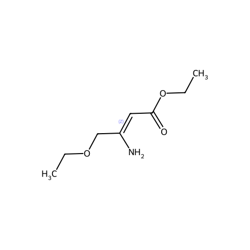 CCOC/C(N)=C/C(=O)OCC